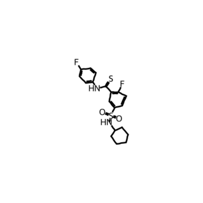 O=S(=O)(NC1CCCCC1)c1ccc(F)c(C(=S)Nc2ccc(F)cc2)c1